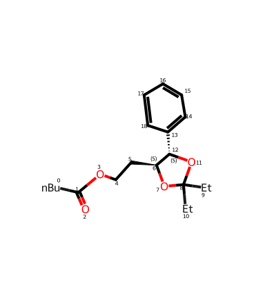 CCCCC(=O)OCC[C@@H]1OC(CC)(CC)O[C@H]1c1ccccc1